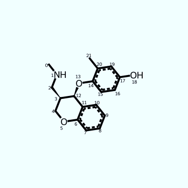 CNC[C@@H]1COc2ccccc2[C@@H]1Oc1ccc(O)cc1C